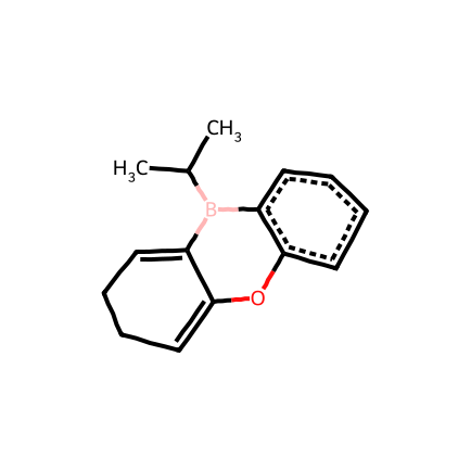 CC(C)B1C2=CCCC=C2Oc2ccccc21